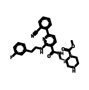 COC(=O)N1CCNC[C@@H]1CNC(=O)c1ccc(-c2ccccc2C#N)nc1NCCc1cccc(F)c1